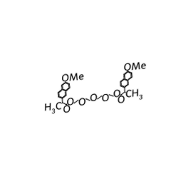 COc1ccc2cc(C(C)C(=O)OCCOCCOCCOCCOC(=O)C(C)c3ccc4cc(OC)ccc4c3)ccc2c1